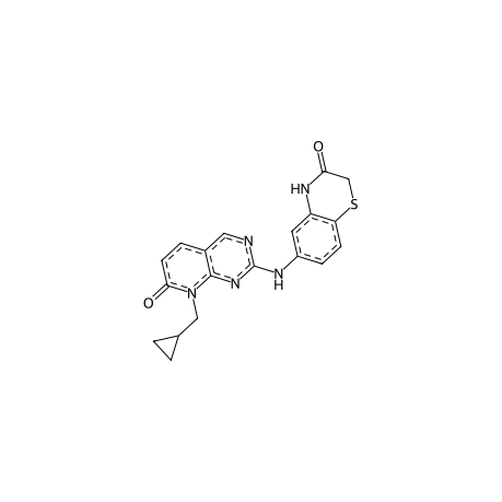 O=C1CSc2ccc(Nc3ncc4ccc(=O)n(CC5CC5)c4n3)cc2N1